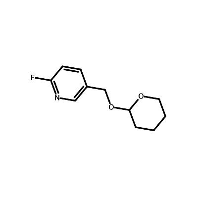 Fc1ccc(COC2CCCCO2)cn1